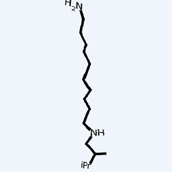 CC(C)C(C)CNCCCCCCCCCCN